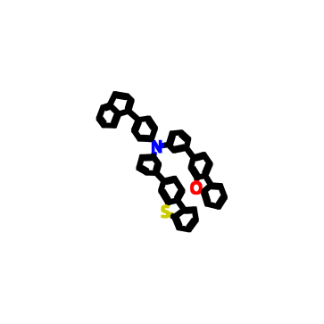 c1cc(-c2ccc3c(c2)oc2ccccc23)cc(N(c2ccc(-c3cccc4ccccc34)cc2)c2cccc(-c3ccc4c(c3)sc3ccccc34)c2)c1